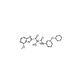 COc1nccc2oc(C(=O)N(S)C(=O)Nc3cccc(Oc4ccccc4)c3)cc12